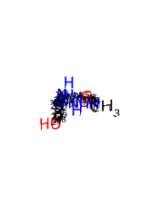 CN1CC[C@@H](OC(=O)CN/C=C(\C=N)Nc2ncc3ccn(C[C@H]4CC[C@H](O)CC4)c3n2)C1